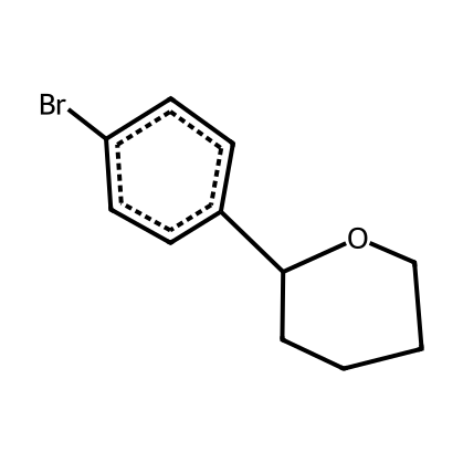 Brc1ccc(C2CCCCO2)cc1